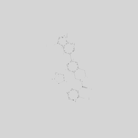 Cc1ncccc1C(=O)N1CCc2cc(-c3cnc4[nH]cc(C)c4c3)cc([C@@H]3CCCN3)c2C1